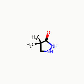 CC1(C)CNNC1=O